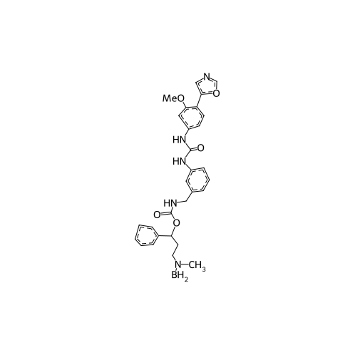 BN(C)CCC(OC(=O)NCc1cccc(NC(=O)Nc2ccc(-c3cnco3)c(OC)c2)c1)c1ccccc1